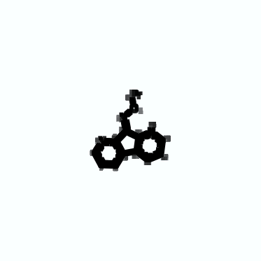 CC(C)ON=C1c2ncccc2-c2cccnc21